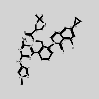 Cn1cc(Nc2nc(N)nc(-c3cccc(-n4ccc5cc(C6CC6)cc(F)c5c4=O)c3COC(=O)C3COC(C)(C)O3)n2)cn1